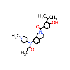 C=CC(=O)N(c1ccc2c(c1)CN(C(=O)c1ccc(O)c(C(C)C)c1)CC2)C1CCN(C)CC1